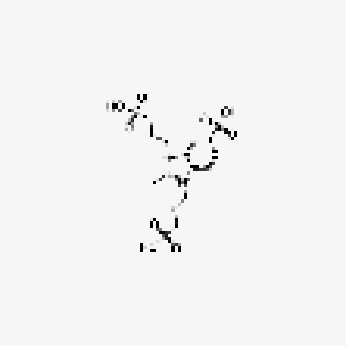 CC1=[N+](CCCS(=O)(=O)O)c2ccc(S(=O)(=O)O)cc2C1(C)CCCS(=O)(=O)O